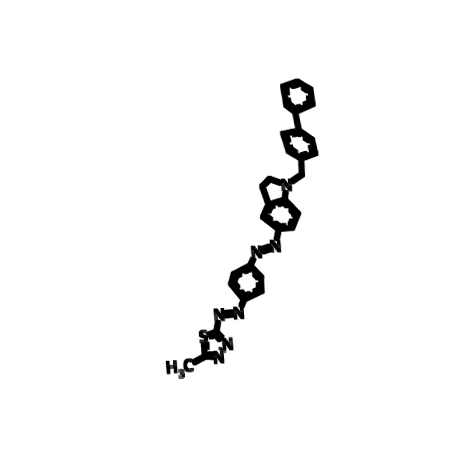 Cc1nnc(N=Nc2ccc(N=Nc3ccc4c(c3)CCN4Cc3ccc(-c4ccccc4)cc3)cc2)s1